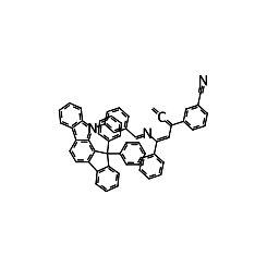 C=C=C(/C=C(\N=C\c1cccc(-n2c3ccccc3c3ccc4c(c32)C(c2ccccc2)(c2ccccc2)c2ccccc2-4)c1)c1ccccc1)c1cccc(C#N)c1